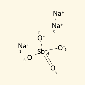 [Na+].[Na+].[Na+].[O]=[Sb]([O-])([O-])[O-]